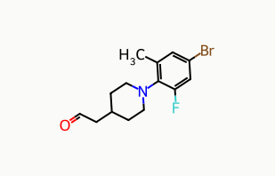 Cc1cc(Br)cc(F)c1N1CCC(CC=O)CC1